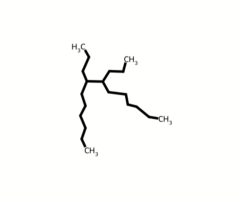 CCCCCCC(CCC)C(CCC)CCCCCC